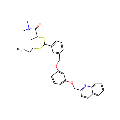 CC(SC(SCCC(=O)O)c1cccc(COc2cccc(OCc3ccc4ccccc4n3)c2)c1)C(=O)N(C)C